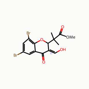 COC(=O)C(C)(C)C1Oc2c(Br)cc(Br)cc2C(=O)/C1=C/O